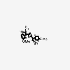 COc1ccc2[nH]c(C)c(-c3csc(-c4cn(C(C)C)c5cc(OC)ccc45)n3)c2c1